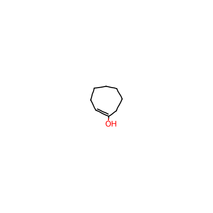 OC1=CCCCCCC1